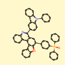 O=P(c1ccccc1)(c1ccccc1)c1ccc(-c2cc3c(-c4ccc5c(c4)c4ccccc4n5-c4ccccc4)nc4ccccc4c3c3c2oc2ccccc23)cc1